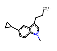 Cn1cc(CCC(=O)O)c2cc(C3CC3)ccc21